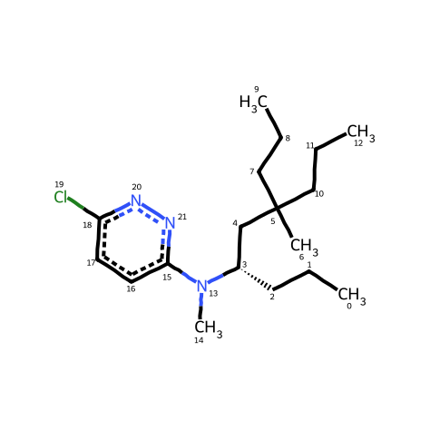 CCC[C@@H](CC(C)(CCC)CCC)N(C)c1ccc(Cl)nn1